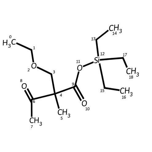 CCOCC(C)(C(C)=O)C(=O)O[Si](CC)(CC)CC